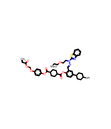 C=CC(=O)OCOc1ccc(OC(=O)C2CCC(C(=O)Oc3ccc(C4CCC(CCC)CC4)cc3/C=N/N(CCOCCOC)c3nc4ccccc4s3)CC2)cc1